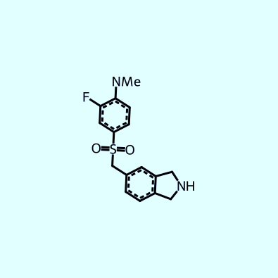 CNc1ccc(S(=O)(=O)Cc2ccc3c(c2)CNC3)cc1F